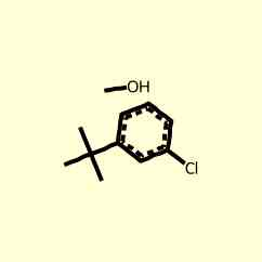 CC(C)(C)c1cccc(Cl)c1.CO